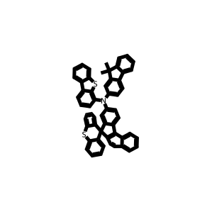 CC1(C)c2ccccc2-c2ccc(N(c3ccc4c(c3)C3(c5ccccc5Sc5ccccc53)c3ccc5ccccc5c3-4)c3cccc4c3sc3ccccc34)cc21